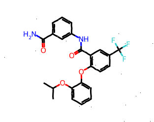 CC(C)Oc1ccccc1Oc1ccc(C(F)(F)F)cc1C(=O)Nc1cccc(C(N)=O)c1